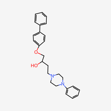 OC(CCN1CCN(c2ccccc2)CC1)COc1ccc(-c2ccccc2)cc1